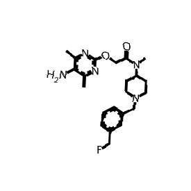 Cc1nc(OCC(=O)N(C)C2CCN(Cc3cccc(CF)c3)CC2)nc(C)c1N